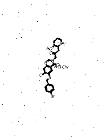 Cl.Cl.O=C(CC1NCCCC1O)Cn1cnc2cc(Cl)c(SCc3ccc(Br)cc3)cc2c1=O